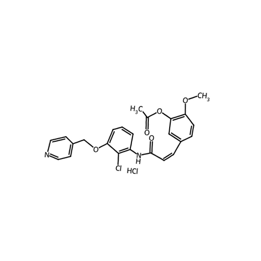 COc1ccc(/C=C\C(=O)Nc2cccc(OCc3ccncc3)c2Cl)cc1OC(C)=O.Cl